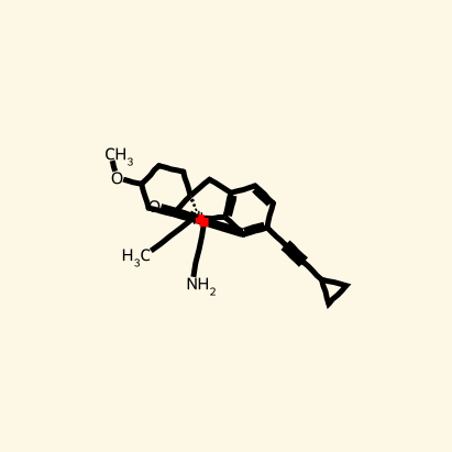 COC1CCC2(CC1)Cc1ccc(C#CC3CC3)cc1[C@@]21N=C(N)N(C)C1=O